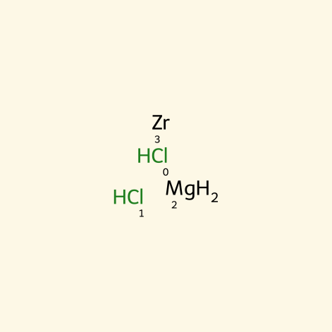 Cl.Cl.[MgH2].[Zr]